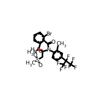 Cc1cc(C(F)(C(F)(F)F)C(F)(F)F)ccc1N(C(=O)c1c(Br)cccc1C(N)=O)C(C)CS(C)(=O)=O